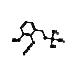 COc1cccc(CO[Si](C)(C)C(C)(C)C)c1N=C=S